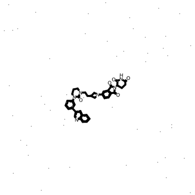 O=C1CCC(N2C(=O)c3ccc(N4CC(CCN5CCCN(c6cccc(-c7cnc8ccccc8c7)c6)C5=O)C4)cc3C2=O)C(=O)N1